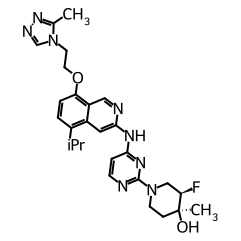 Cc1nncn1CCOc1ccc(C(C)C)c2cc(Nc3ccnc(N4CC[C@](C)(O)[C@H](F)C4)n3)ncc12